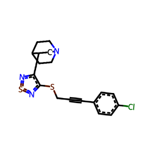 Clc1ccc(C#CCSc2nsnc2C2CN3CCC2CC3)cc1